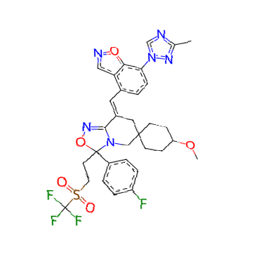 COC1CCC2(CC1)C/C(=C\c1ccc(-n3cnc(C)n3)c3oncc13)C1=NOC(CCS(=O)(=O)C(F)(F)F)(c3ccc(F)cc3)N1C2